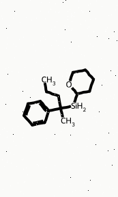 CCCC(C)([SiH2]C1CCCCO1)c1ccccc1